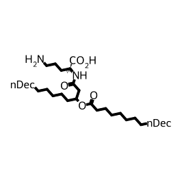 CCCCCCCCCCCCCCCCCC(=O)OC(CCCCCCCCCCCCCCC)CC(=O)N[C@H](CCCN)C(=O)O